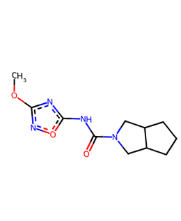 COc1noc(NC(=O)N2CC3CCCC3C2)n1